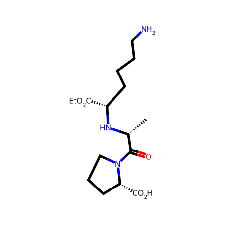 CCOC(=O)[C@H](CCCCN)N[C@H](C)C(=O)N1CCC[C@H]1C(=O)O